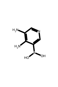 Nc1cncc(B(O)O)c1N